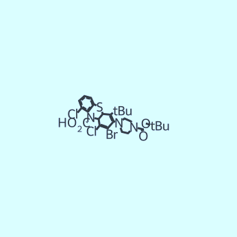 CC(C)(C)OC(=O)N1CCN(C2=C(C(C)(C)C)C3Sc4cccc(Cl)c4N(C(=O)O)C3C(Cl)=C2Br)CC1